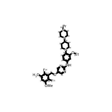 CCOc1cc(Nc2ncc(OCc3c(F)c(C)cc(OC)c3F)cn2)ccc1N1CCC(N2CCN(C(C)C)CC2)CC1